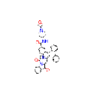 CC(=O)N1/C(=C\c2cc(-c3ccccc3-c3ccccc3)c3cc(C(=O)NC4CCN(C5COC5)CC4)ccc3n2)C(=O)c2ccccc21